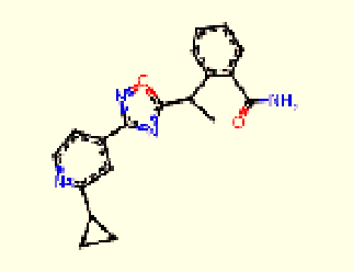 CC(c1nc(-c2ccnc(C3CC3)c2)no1)c1ccccc1C(N)=O